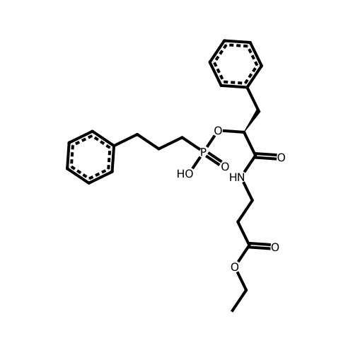 CCOC(=O)CCNC(=O)[C@H](Cc1ccccc1)OP(=O)(O)CCCc1ccccc1